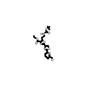 CCOC(=O)c1nc(-c2coc(-c3cccc(C=O)n3)n2)oc1CCNC(=O)OC(C)(C)C